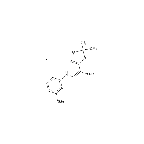 COc1cccc(N/C=C(/C=O)C(=O)OC(C)(C)OC)n1